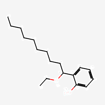 CCCCCCCCCC(OCC)c1ccccc1O